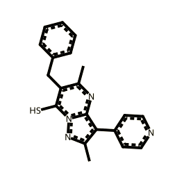 Cc1nc2c(-c3ccncc3)c(C)nn2c(S)c1Cc1ccccc1